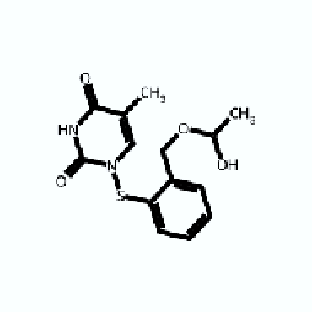 Cc1cn(Sc2ccccc2COC(C)O)c(=O)[nH]c1=O